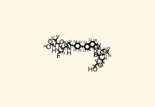 COC(=O)N[C@H](C(=O)N1CC(F)CC1c1ncc(-c2ccc(-c3ccc4c(ccc5nc([C@@H]6C[Si](C)(C)CN6C(=O)[C@@H](CC(=O)CO)C(C)C)[nH]c54)c3)cc2)[nH]1)C(C)C